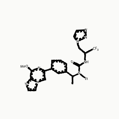 CCN(C(=O)NC(Cn1ccnn1)C(F)(F)F)C(C)c1cccc(-c2cn3ccnc3c(OC)n2)c1